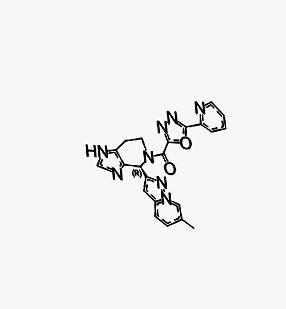 Cc1ccc2cc([C@H]3c4nc[nH]c4CCN3C(=O)c3nnc(-c4ccccn4)o3)nn2c1